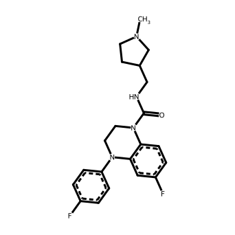 CN1CCC(CNC(=O)N2CCN(c3ccc(F)cc3)c3cc(F)ccc32)C1